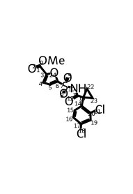 COC(=O)c1ccc(S(=O)(=O)NC(=O)C2(c3ccc(Cl)cc3Cl)CC2)o1